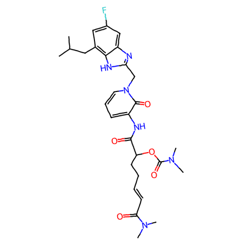 CC(C)Cc1cc(F)cc2nc(Cn3cccc(NC(=O)C(CC/C=C/C(=O)N(C)C)OC(=O)N(C)C)c3=O)[nH]c12